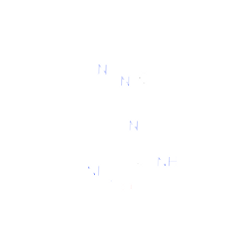 Cn1ncc2cc(N)c(C(N)=O)nc21